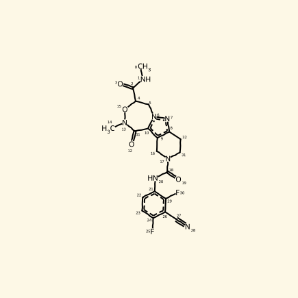 CNC(=O)C1Cn2nc3c(c2C(=O)N(C)O1)CN(C(=O)Nc1ccc(F)c(C#N)c1F)CC3